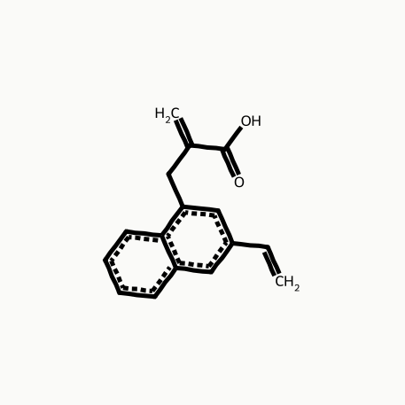 C=Cc1cc(CC(=C)C(=O)O)c2ccccc2c1